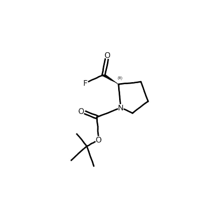 CC(C)(C)OC(=O)N1CCC[C@@H]1C(=O)F